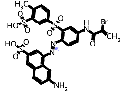 C=C(Br)C(=O)Nc1ccc(/N=N/c2cc(S(=O)(=O)O)cc3ccc(N)cc23)c(S(=O)(=O)c2ccc(C)c(S(=O)(=O)O)c2)c1